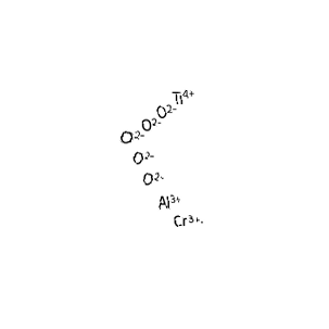 [Al+3].[Cr+3].[O-2].[O-2].[O-2].[O-2].[O-2].[Ti+4]